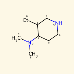 C[CH]C1CNCCC1N(C)C